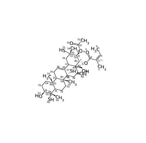 C/C=C(/C)C(=O)O[C@H]1[C@H](OC(C)=O)[C@@](C)(S)CC2C3=CCC4[C@@]5(C)CC[C@H](O)[C@@](C)(S)C5CC[C@@]4(C)[C@]3(S)C[C@@H](O)[C@]21CO